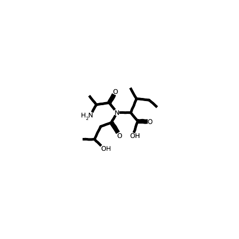 CCC(C)C(C(=O)O)N(C(=O)CC(C)O)C(=O)C(C)N